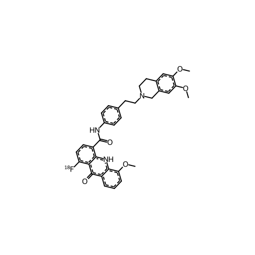 COc1cc2c(cc1OC)CN(CCc1ccc(NC(=O)c3ccc([18F])c4c(=O)c5cccc(OC)c5[nH]c34)cc1)CC2